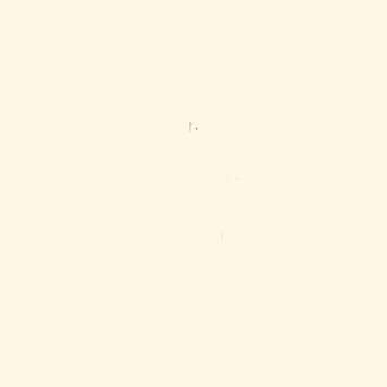 B.c1ccc(P2NCCO2)cc1